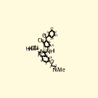 CNCCOc1ccc2ncnc(Nc3ccc(C(=O)c4ccccc4)c(Cl)c3)c2c1.Cl.Cl